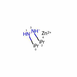 CC(C)[NH-].CC(C)[NH-].[Zn+2]